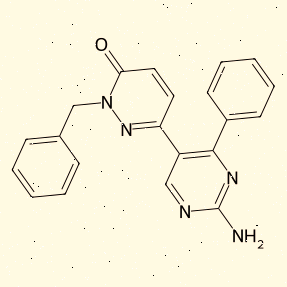 Nc1ncc(-c2ccc(=O)n(Cc3ccccc3)n2)c(-c2ccccc2)n1